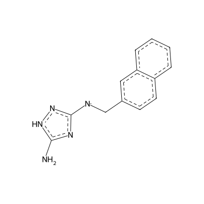 Nc1nc([N]Cc2ccc3ccccc3c2)n[nH]1